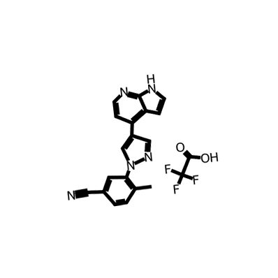 Cc1ccc(C#N)cc1-n1cc(-c2ccnc3[nH]ccc23)cn1.O=C(O)C(F)(F)F